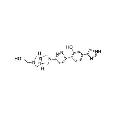 OCCN1C[C@@H]2CN(c3ccc(-c4ccc(-c5c[nH]cn5)cc4O)nn3)C[C@@H]2C1